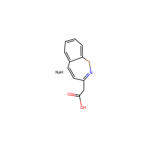 O=C(O)CC1=NSc2ccccc2C=C1.[NaH]